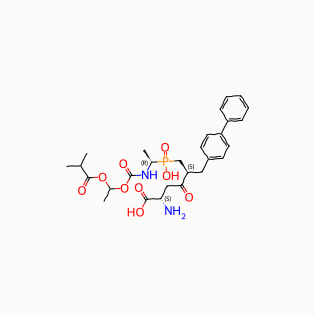 CC(OC(=O)N[C@@H](C)P(=O)(O)C[C@@H](Cc1ccc(-c2ccccc2)cc1)C(=O)C[C@H](N)C(=O)O)OC(=O)C(C)C